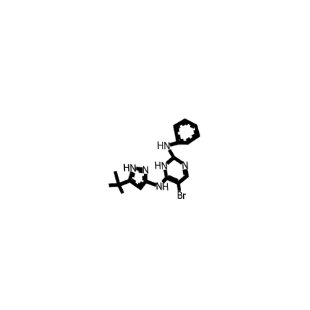 CC(C)(C)c1cc(NC2=C(Br)C=NC(Nc3ccccc3)N2)n[nH]1